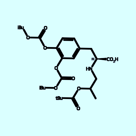 CCC(C)OC(=O)Oc1ccc(C[C@H](NCC(C)OC(=O)C(C)(C)C)C(=O)O)cc1OC(=O)OC(C)CC